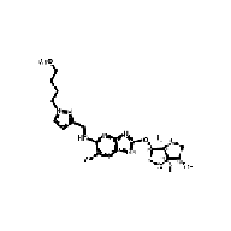 COCCCCn1ccc(CNc2nc3nc(O[C@@H]4CO[C@H]5[C@@H]4OC[C@H]5O)[nH]c3cc2Cl)n1